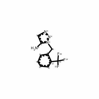 Nc1cnnn1Cc1ccccc1C(F)(F)F